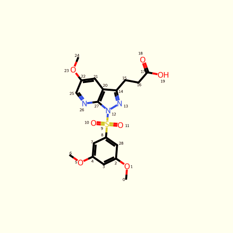 COc1cc(OC)cc(S(=O)(=O)n2nc(CCC(=O)O)c3cc(OC)cnc32)c1